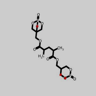 CC(CC(C)C(=O)OCC12COP(=O)(OC1)OC2)C(=O)OCC12COP(=O)(OC1)OC2